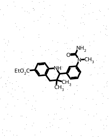 CCOC(=O)c1ccc2c(c1)CC(C)(C)C(c1cccc(N(C)C(N)=O)c1)N2